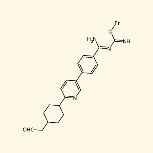 CCOC(=N)/N=C(\N)c1ccc(-c2ccc(C3CCC(CC=O)CC3)nc2)cc1